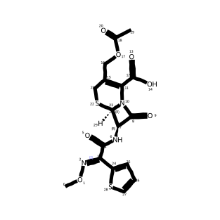 CO/N=C(/C(=O)N[C@@H]1C(=O)N2C(C(=O)O)=C(COC(C)=O)CS[C@H]12)c1cccs1